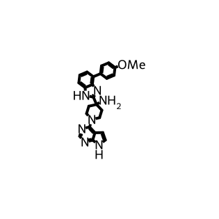 COc1ccc(-c2cccc3[nH]c(C4(N)CCN(c5ncnc6[nH]ccc56)CC4)nc23)cc1